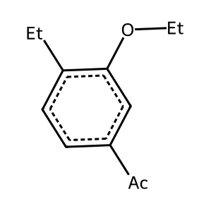 CCOc1cc(C(C)=O)ccc1CC